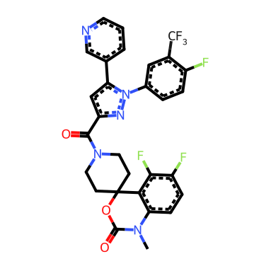 CN1C(=O)OC2(CCN(C(=O)c3cc(-c4cccnc4)n(-c4ccc(F)c(C(F)(F)F)c4)n3)CC2)c2c1ccc(F)c2F